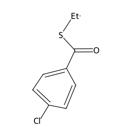 C[CH]SC(=O)c1ccc(Cl)cc1